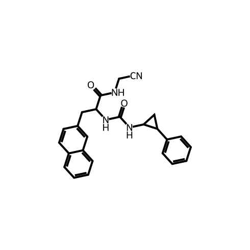 N#CCNC(=O)C(Cc1ccc2ccccc2c1)NC(=O)NC1CC1c1ccccc1